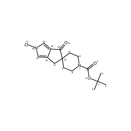 CC(C)(C)OC(=O)N1CCC2(CC1)Cc1cn(Cl)cc1C2=O